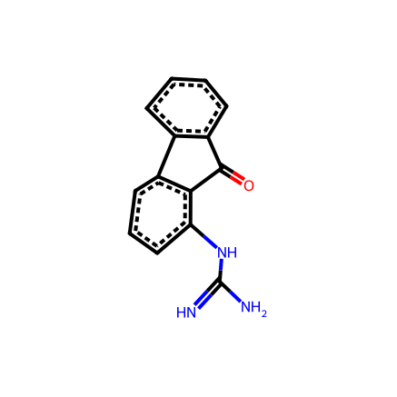 N=C(N)Nc1cccc2c1C(=O)c1ccccc1-2